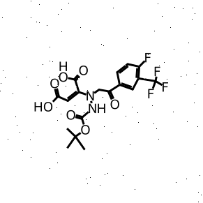 CC(C)(C)OC(=O)NN(CC(=O)c1ccc(F)c(C(F)(F)F)c1)/C(=C/C(=O)O)C(=O)O